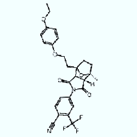 CCOc1ccc(OCC[C@@]23CC[C@](C)(O2)[C@@H]2C(=O)N(c4ccc(C#N)c(C(F)(F)F)c4)C(=O)C23)cc1